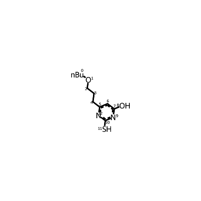 CCCCOCCCc1cc(O)nc(S)n1